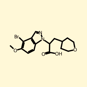 COc1ccc2c(cnn2C(CC2CCOCC2)C(=O)O)c1Br